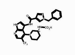 O=C(O)N[C@@H]1CCCN(c2c(C(F)(F)F)cnc3[nH]cc(NC(=O)c4cnn(Cc5ccccc5)c4)c23)C1